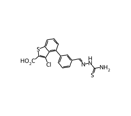 NC(=S)NN=Cc1cccc(-c2cccc3sc(C(=O)O)c(Cl)c23)c1